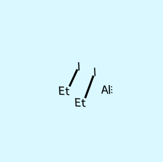 CCI.CCI.[Al]